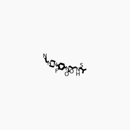 CC(C)C(=S)NCC1CN(c2ccc(N3CCN(CC#N)CC3)c(F)c2)C(=O)O1